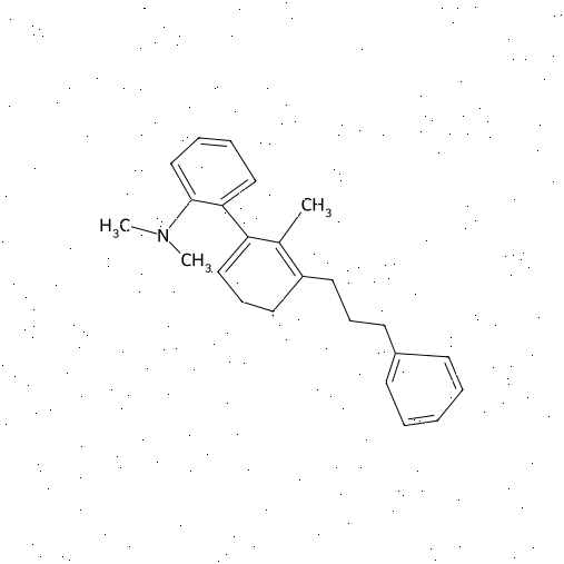 CC1=C(CCCc2ccccc2)[CH]CC=C1c1ccccc1N(C)C